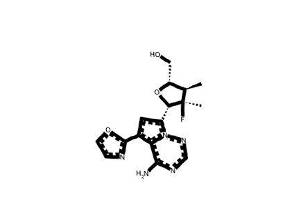 C[C@@H]1[C@@H](CO)O[C@@H](c2cc(-c3ncco3)c3c(N)ncnn23)[C@]1(C)F